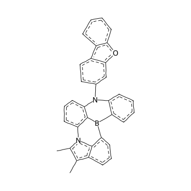 Cc1c(C)n2c3c(cccc13)B1c3ccccc3N(c3ccc4c(c3)oc3ccccc34)c3cccc-2c31